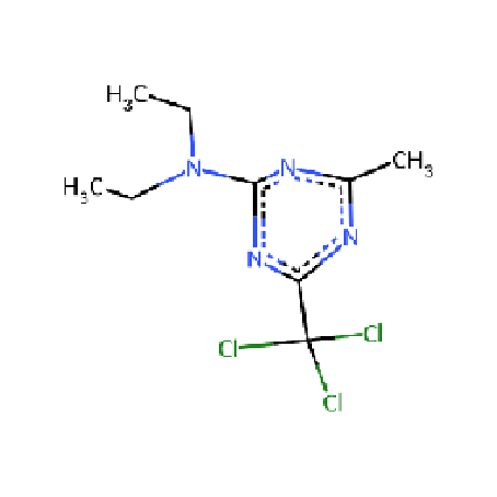 CCN(CC)c1nc(C)nc(C(Cl)(Cl)Cl)n1